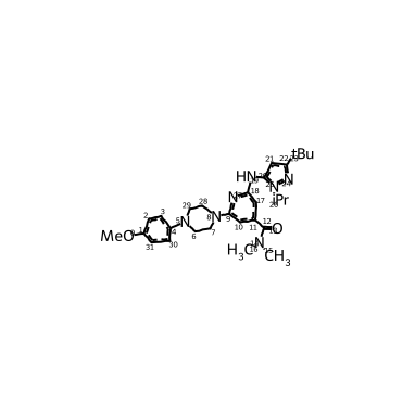 COc1ccc(N2CCN(c3cc(C(=O)N(C)C)cc(Nc4cc(C(C)(C)C)nn4C(C)C)n3)CC2)cc1